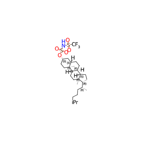 CC(C)CCC[C@@H](C)[C@H]1CC[C@H]2[C@@H]3CC[C@H]4C[C@@H](OS(=O)(=O)NS(=O)(=O)C(F)(F)F)CC[C@]4(C)[C@H]3CC[C@]12C